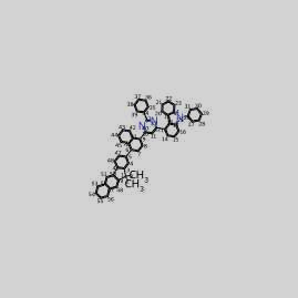 CC1(C)c2cc(-c3ccc(-c4cc(-c5cccc6c5c5ccccc5n6-c5ccccc5)nc(-c5ccccc5)n4)c4ccccc34)ccc2-c2cc3ccccc3cc21